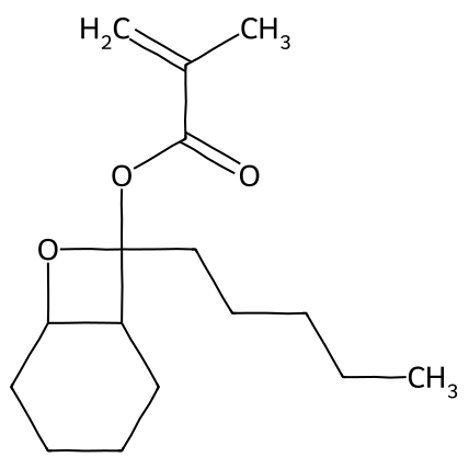 C=C(C)C(=O)OC1(CCCCC)OC2CCCCC21